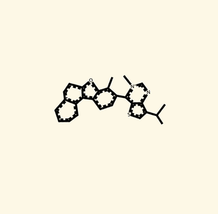 Cc1c(-c2c3scc(C(C)C)c3nc[n+]2C)ccc2c1oc1ccc3ccccc3c12